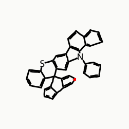 c1ccc(-n2c3cc4c(cc3c3ccc5ccccc5c32)Sc2ccccc2C42c3ccccc3-c3ccccc32)cc1